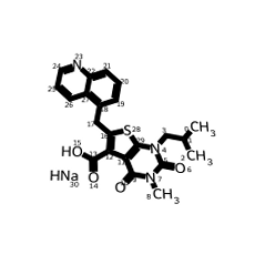 CC(C)Cn1c(=O)n(C)c(=O)c2c(C(=O)O)c(Cc3cccc4ncccc34)sc21.[NaH]